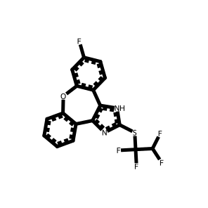 Fc1ccc2c(c1)Oc1ccccc1-c1nc(SC(F)(F)C(F)F)[nH]c1-2